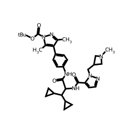 Cc1nn(C(=O)OC(C)(C)C)c(C)c1-c1ccc(NC(=O)C(NC(=O)c2ccnn2CC2CN(C)C2)C(C2CC2)C2CC2)cc1